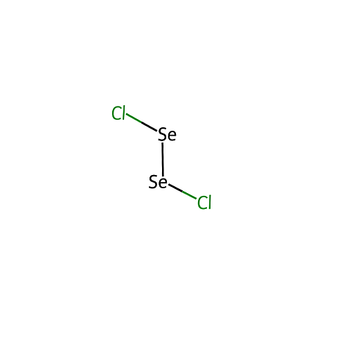 Cl[Se][Se]Cl